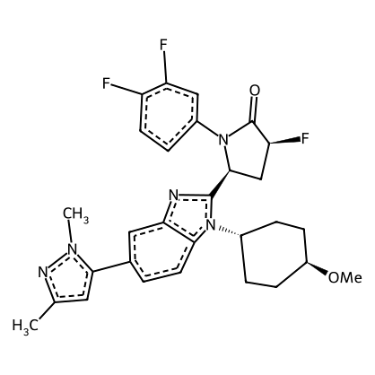 CO[C@H]1CC[C@H](n2c([C@@H]3C[C@H](F)C(=O)N3c3ccc(F)c(F)c3)nc3cc(-c4cc(C)nn4C)ccc32)CC1